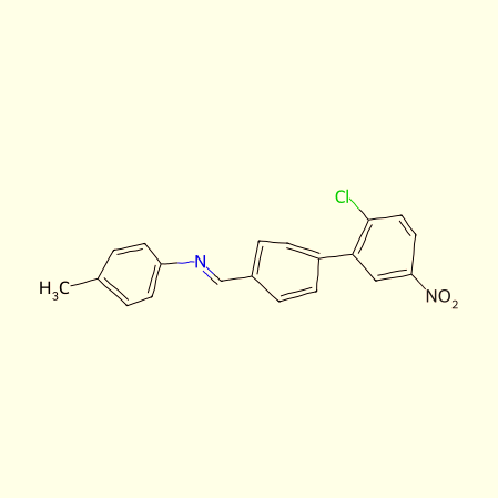 Cc1ccc(/N=C/c2ccc(-c3cc([N+](=O)[O-])ccc3Cl)cc2)cc1